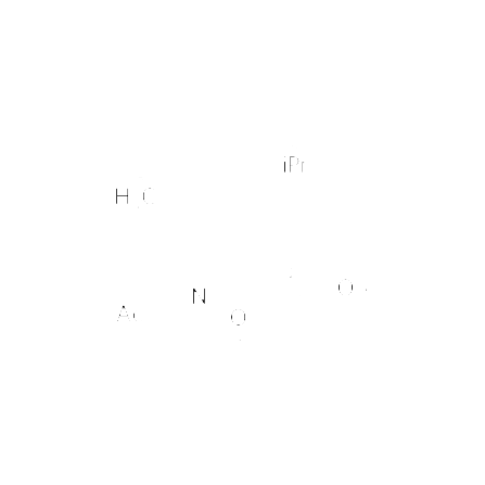 CC(=O)n1oc(=O)c(C(C)C)c1C